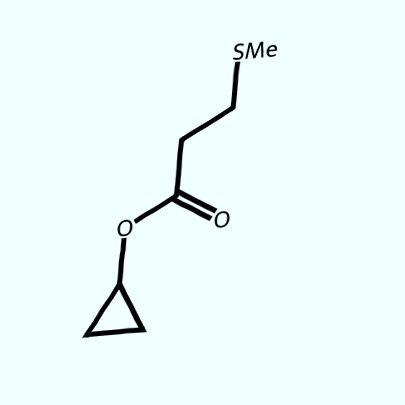 CSCCC(=O)OC1CC1